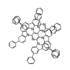 C1=CC(c2ccccc2)Cc2c1n(-c1nc(-n3c4ccc(-c5ccccc5)cc4c4cc(-c5ccccc5)ccc43)c(-n3c4ccc(-c5ccccc5)cc4c4cc(-c5ccccc5)ccc43)c(-c3nc(-c4ccccc4)nc(-c4ccccc4)n3)c1-n1c3ccc(-c4ccccc4)cc3c3cc(-c4ccccc4)ccc31)c1ccc(-c3ccccc3)cc21